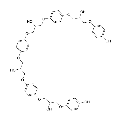 Oc1ccc(OCC(O)COc2ccc(OCC(O)COc3ccc(OCC(O)COc4ccc(OCC(O)COc5ccc(O)cc5)cc4)cc3)cc2)cc1